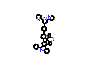 c1ccc(-c2nc3ccccc3c3cc4c(cc23)-c2ccc(-c3ccc(-c5cc(-c6ccccn6)nc(-c6ccccn6)c5)cc3)cc2C42c3ccccc3Oc3ccccc32)cc1